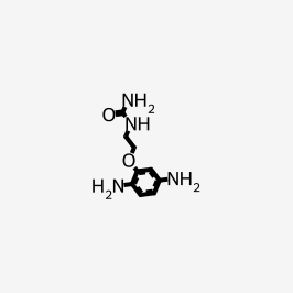 NC(=O)NCCOc1cc(N)ccc1N